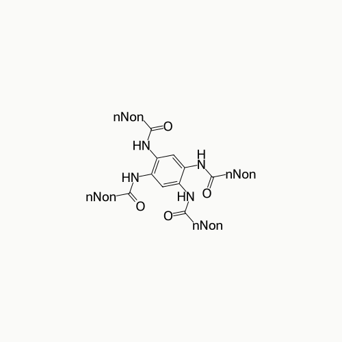 CCCCCCCCCC(=O)Nc1cc(NC(=O)CCCCCCCCC)c(NC(=O)CCCCCCCCC)cc1NC(=O)CCCCCCCCC